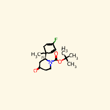 CC(C)(C)OC(=O)N1CCC(=O)C[C@H]1C1(C)C=CC(F)=CC1